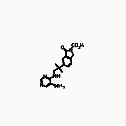 CC(C)(CNc1ncncc1N)c1ccc2c(c1)C(=O)N(C(=O)O)C2